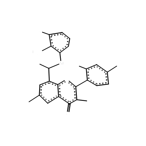 Cc1ccc(-c2oc3c(C(C)Nc4cccc(F)c4C(=O)O)cc(C)cc3c(=O)c2C)c(F)c1